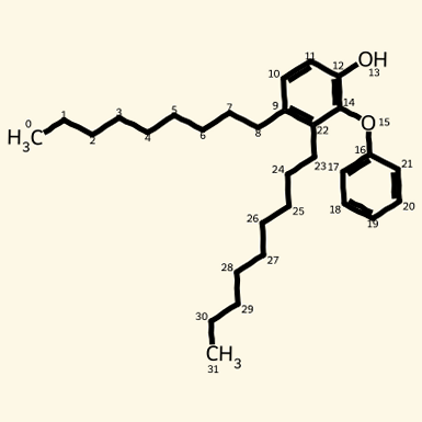 CCCCCCCCCc1ccc(O)c(Oc2ccccc2)c1CCCCCCCCC